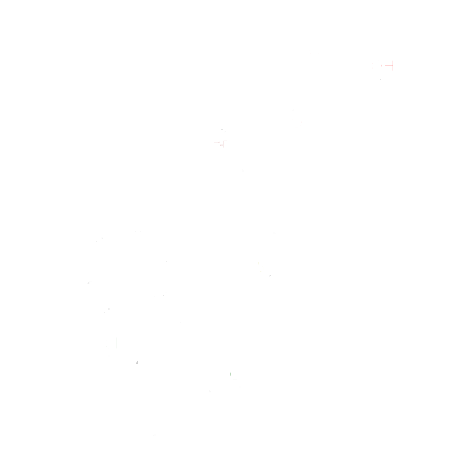 O=C(O)COc1ccc(SCC=C(c2ccccc2Cl)c2ccccc2Cl)cc1Br